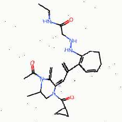 C=C(/C=C1\C(=C)N(C(C)=O)C(C)CN1C(=O)C1CC1)C1=C(NNCC(=O)NCC)CCCC=C1